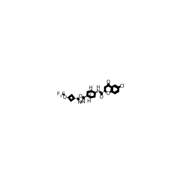 O=C1C[C@@H](C(=O)N[C@H]2C[C@H]3O[C@@H]2C[C@@H]3c2nnc([C@H]3C[C@@H](OC(F)(F)F)C3)o2)Oc2ccc(Cl)cc21